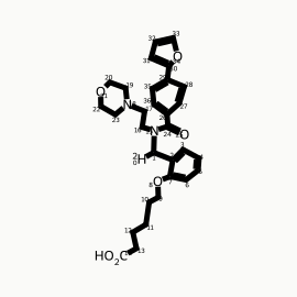 [2H]C(c1ccccc1OCCCCCC(=O)O)N(CCN1CCOCC1)C(=O)c1ccc(-c2ccco2)cc1